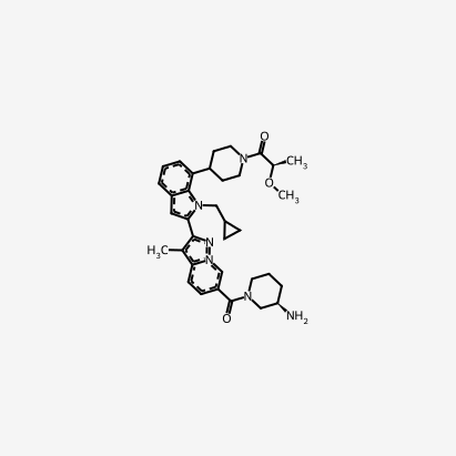 CO[C@H](C)C(=O)N1CCC(c2cccc3cc(-c4nn5cc(C(=O)N6CCC[C@@H](N)C6)ccc5c4C)n(CC4CC4)c23)CC1